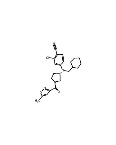 Cc1cc(C(=O)N2CC[C@H](N(CC3CCCCC3)c3ccc(C#N)c(Cl)c3)C2)no1